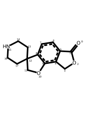 O=C1OCc2c1ccc1c2OCC12CCNCC2